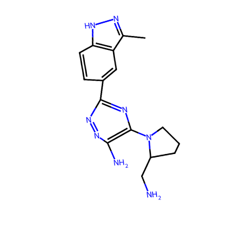 Cc1n[nH]c2ccc(-c3nnc(N)c(N4CCCC4CN)n3)cc12